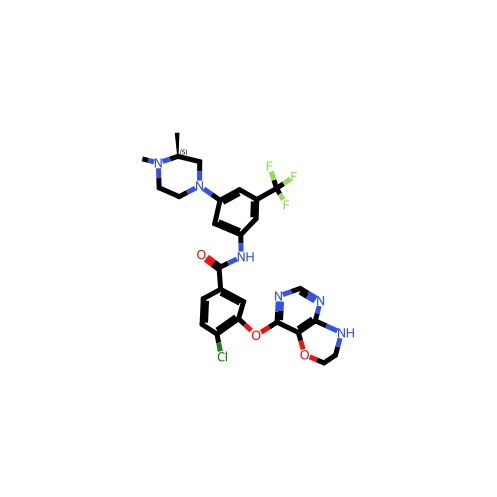 C[C@H]1CN(c2cc(NC(=O)c3ccc(Cl)c(Oc4ncnc5c4OCCN5)c3)cc(C(F)(F)F)c2)CCN1C